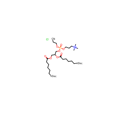 CCCCCCCCCCCCCCCC(=O)OCC(COP(=O)(OCCC#N)OCCC[N+](C)(C)C)OC(=O)CCCCCCCCCCCCCCC.[Cl-]